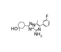 Cc1c(-c2cccc(F)c2)nc(N)c2nc(C3CCCC(C)(O)C3)nn12